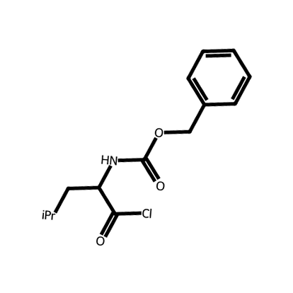 CC(C)CC(NC(=O)OCc1ccccc1)C(=O)Cl